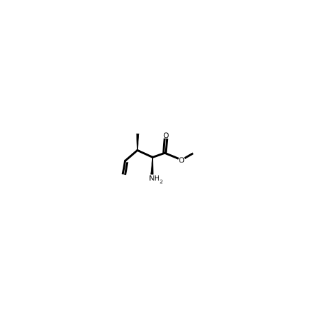 C=C[C@@H](C)[C@H](N)C(=O)OC